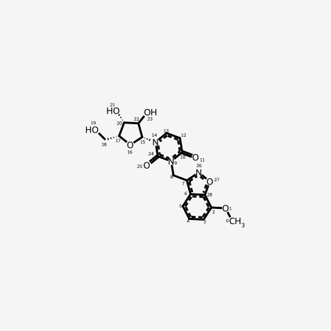 COc1cccc2c(Cn3c(=O)ccn([C@@H]4O[C@H](CO)[C@H](O)C4O)c3=O)noc12